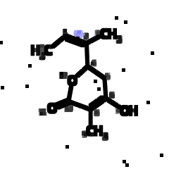 C/C=C(/C)C1CC(O)=C(C)C(=O)O1